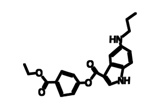 CCCNc1ccc2[nH]cc(C(=O)Oc3ccc(C(=O)OCC)cc3)c2c1